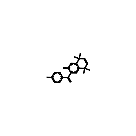 C=C(c1ccc(I)cc1)c1cc2c(cc1C)C(C)(C)C=CC2(C)C